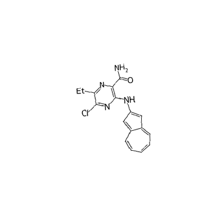 CCc1nc(C(N)=O)c(Nc2cc3cccccc-3c2)nc1Cl